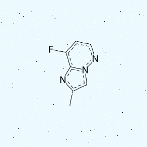 Cc1cn2nccc(F)c2n1